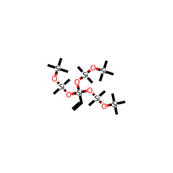 C=C[Si](O[Si](C)(C)O[Si](C)(C)C)(O[Si](C)(C)O[Si](C)(C)C)O[Si](C)(C)O[Si](C)(C)C